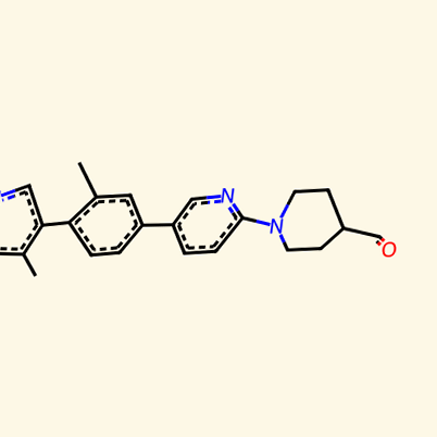 Cc1cc(-c2ccc(N3CCC(C=O)CC3)nc2)ccc1-c1cnccc1C